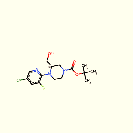 CC(C)(C)OC(=O)N1CCN(c2ncc(Cl)cc2F)[C@@H](CO)C1